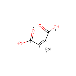 O=C(O)/C=C\C(=O)O.[RbH]